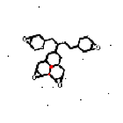 C(CC(CC1CCC2OC2C1)C(CC1CCC2OC2C1)CC1CCC2OC2C1)C1CCC2OC2C1